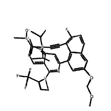 COCOc1cc(-c2cc3nc([S+](C)[O-])ncc3c(N3CCC3C(F)(F)F)n2)c2c(C#C[Si](C(C)C)(C(C)C)C(C)C)c(F)ccc2c1